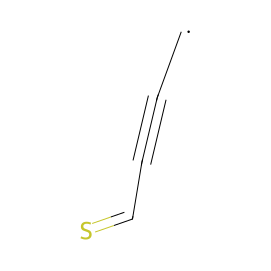 [CH2]C#CC=S